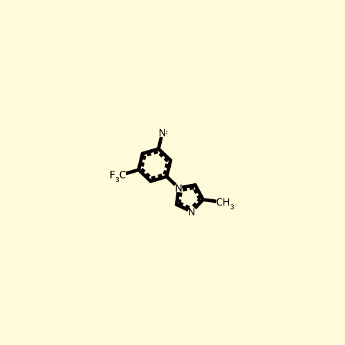 Cc1cn(-c2cc([N])cc(C(F)(F)F)c2)cn1